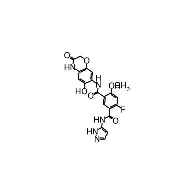 O.O=C1COc2cc(NC(=O)c3cc(C(=O)Nc4ccn[nH]4)c(F)cc3O)c(O)cc2N1